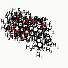 BBB(B)B(B(B(B)B)B(B)B)c1c(C)c(N=Nc2c(B(BB)B(B)B)c(C)c(N=Nc3c(B)c(C)c(C)c(B(B)BB)c3B(B)B(B)B)c3c(C)c(B(B(B)B)B(B)B(B)B)c(B(B(B)B)B(BB)B(B)B)c(B(B(B)B)B(B(B)B)B(B)B)c23)c(B(B(BB)B(B)B)B(B(B)B)B(B)B)c(B(B(B(B)B)B(B)B)B(B(B)B)B(B)B)c1NC(=O)NC